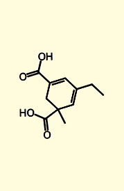 CCC1=CC(C)(C(=O)O)CC(C(=O)O)=C1